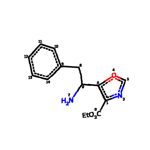 CCOC(=O)c1ncoc1C(N)Cc1ccccc1